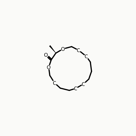 C[C@H]1OCCCCCCCCCCCCOC1=O